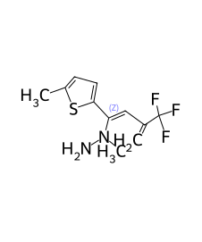 C=C(/C=C(/c1ccc(C)s1)N(C)N)C(F)(F)F